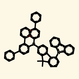 CC1(C)c2cc(N(c3ccc(-c4ccccc4)cc3)c3ccc(-c4ccccc4)cc3-c3ccccc3)ccc2-c2c(-n3c4ccccc4c4ccccc43)cccc21